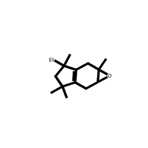 CCC1(C)CC(C)(C)C2=C1CC1(C)OC1C2